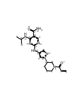 C=CC(=O)N1CCC[C@@H](n2cc(Nc3ncc(C(N)=O)c(NC(C)C)n3)cn2)C1